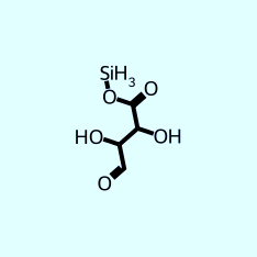 O=CC(O)C(O)C(=O)O[SiH3]